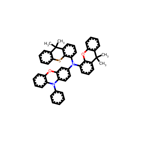 CC1(C)c2ccccc2Oc2c(N(c3ccc4c(c3)Oc3ccccc3N4c3ccccc3)c3cccc4c3Sc3ccccc3C4(C)C)cccc21